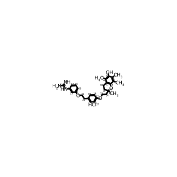 Cc1c(C)c2c(c(C)c1O)CCC(C)(CCOc1ccc(CCOc3cccc(NC(=N)N)c3)cc1)O2.Cl